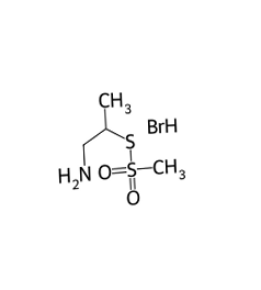 Br.CC(CN)SS(C)(=O)=O